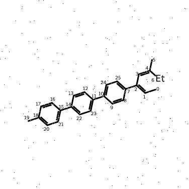 C/C=C(\C=C(\C)CC)c1ccc(-c2ccc(-c3ccc(C)cc3)cc2)cc1